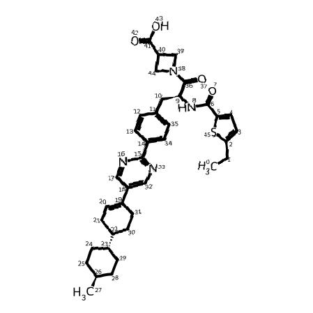 CCc1ccc(C(=O)N[C@@H](Cc2ccc(-c3ncc(C4=CCC([C@H]5CC[C@H](C)CC5)CC4)cn3)cc2)C(=O)N2CC(C(=O)O)C2)s1